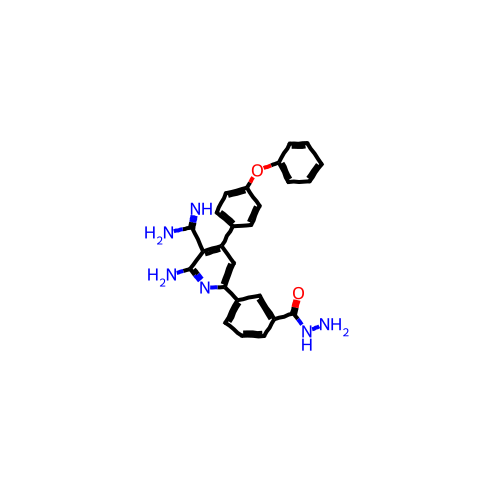 N=C(N)c1c(-c2ccc(Oc3ccccc3)cc2)cc(-c2cccc(C(=O)NN)c2)nc1N